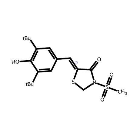 CC(C)(C)c1cc(/C=C2\SCN(S(C)(=O)=O)C2=O)cc(C(C)(C)C)c1O